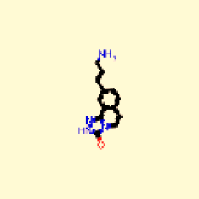 NCC=Cc1ccc2ccn3c(=O)[nH]nc3c2c1